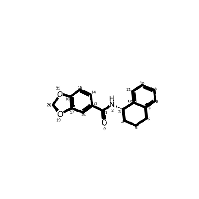 O=C(N[C@H]1CCCc2ccccc21)c1ccc2c(c1)OCO2